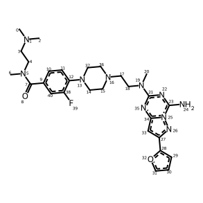 CN(C)CCN(C)C(=O)c1ccc(N2CCN(CCN(C)c3nc(N)n4nc(-c5ccco5)cc4n3)CC2)c(F)c1